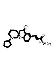 O=C(/C=C/c1ccc2c(c1)C(=O)CC1(CCCN(C3CCCC3)C1)O2)NO